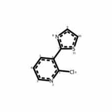 Clc1ncccc1-c1n[c]cs1